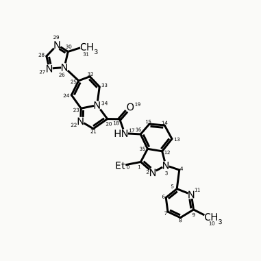 CCc1nn(Cc2cccc(C)n2)c2cccc(NC(=O)c3cnc4cc(-n5ncnc5C)ccn34)c12